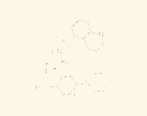 Cc1cnc(N2CCOCC2)cc1C1(C(=O)NS(=O)(=O)c2cccc3ncccc23)CC1